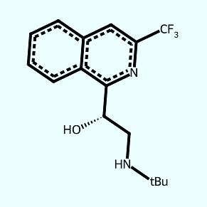 CC(C)(C)NC[C@H](O)c1nc(C(F)(F)F)cc2ccccc12